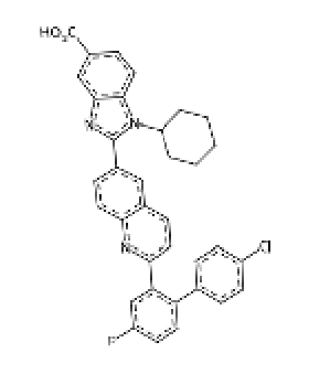 O=C(O)c1ccc2c(c1)nc(-c1ccc3nc(-c4cc(F)ccc4-c4ccc(Cl)cc4)ccc3c1)n2C1CCCCC1